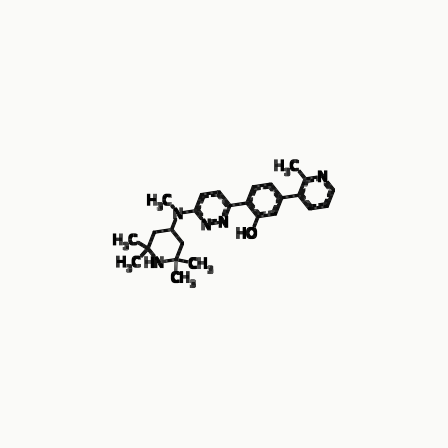 Cc1ncccc1-c1ccc(-c2ccc(N(C)C3CC(C)(C)NC(C)(C)C3)nn2)c(O)c1